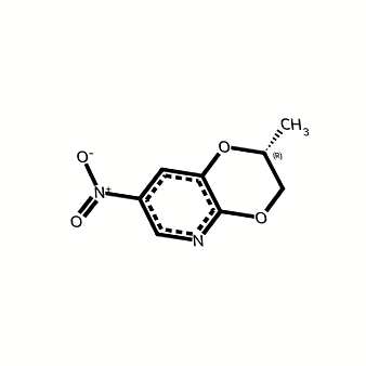 C[C@@H]1COc2ncc([N+](=O)[O-])cc2O1